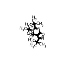 CC(C)(C)c1noc2nc(C(C)(C)C)n(C(C)(C)C)c(=O)c12